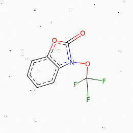 O=c1oc2ccccc2n1OC(F)(F)F